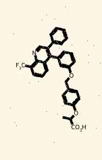 CC(Oc1ccc(COc2cccc(-c3c(-c4ccccc4)cnc4c(C(F)(F)F)cccc34)c2)cc1)C(=O)O